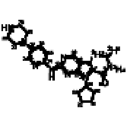 [2H]C([2H])N([2H])C(=O)c1cc2cnc(Nc3ccc(N4CCNCC4)cn3)nc2n1C1CCCC1